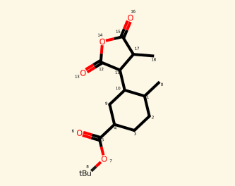 CC1CCC(C(=O)OC(C)(C)C)CC1C1C(=O)OC(=O)C1C